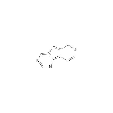 C1=CC2=C3[N]C=NC=C3C=C2CO1